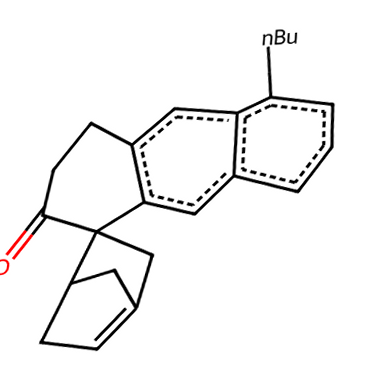 CCCCc1cccc2cc3c(cc12)CCC(=O)C31CC2=CCC1C2